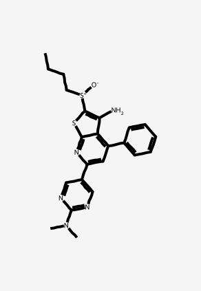 CCCC[S+]([O-])c1sc2nc(-c3cnc(N(C)C)nc3)cc(-c3ccccc3)c2c1N